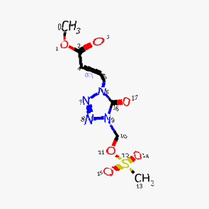 COC(=O)/C=C/n1nnn(COS(C)(=O)=O)c1=O